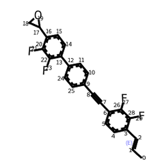 C/C=C/c1ccc(C#Cc2ccc(-c3ccc(C4CO4)c(F)c3F)cc2)c(F)c1F